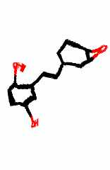 Oc1ccc(O)c(CCC2CCC3OC3C2)c1